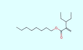 C=C(C(=O)OCCCCCCCC)C(CC)CC